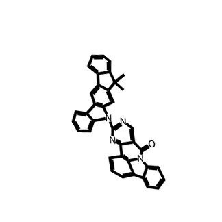 CC1(C)c2ccccc2-c2cc3c4ccccc4n(-c4ncc5c(=O)n6c7ccccc7c7cccc(c5n4)c76)c3cc21